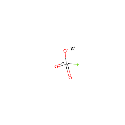 [K+].[O]=[Ta](=[O])([O-])[F]